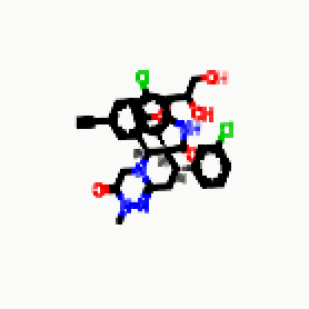 C#Cc1ccc(OCC(O)CO)c([C@@H]2N3CC(=O)N(C)N=C3C[C@@H](c3cccc(Cl)c3)[C@]23C(=O)Nc2cc(Cl)ccc23)c1